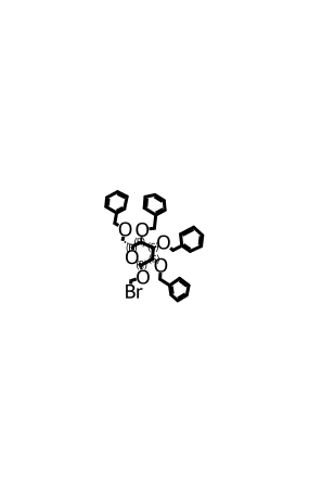 BrCO[C@H]1O[C@H](COCc2ccccc2)[C@@H](OCc2ccccc2)[C@H](OCc2ccccc2)[C@@H]1OCc1ccccc1